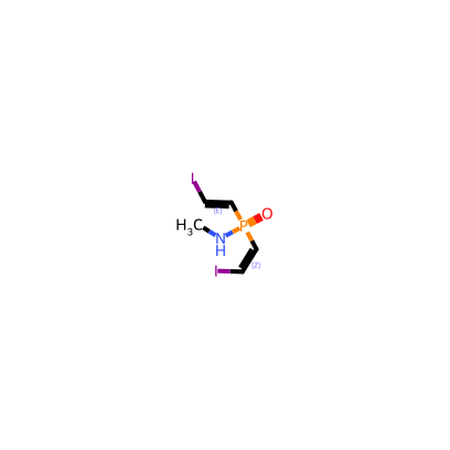 CNP(=O)(/C=C\I)/C=C/I